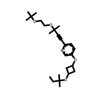 CCC(C)(C)OC1CC(Oc2ccc(C#CC(C)(C)OCCOC(C)(C)C)nc2)C1